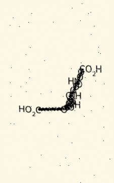 O=C(O)CCCCCCCCCCCCCCCOc1ccc(S(=O)(=O)Nc2ncc(C(=O)NCCOCCOCC(=O)NCCOCCOCC(=O)O)cn2)cc1